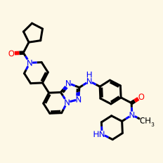 CN(C(=O)c1ccc(Nc2nc3c(C4=CCN(C(=O)C5CCCC5)CC4)cccn3n2)cc1)C1CCNCC1